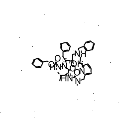 CCc1cccc(CN(C)C(=O)N[C@H](C(=O)N(NC(=O)OCc2ccccc2)[C@@H](Cc2ccccc2)[C@@H](O)CNCc2ccccc2)C(C)C)n1